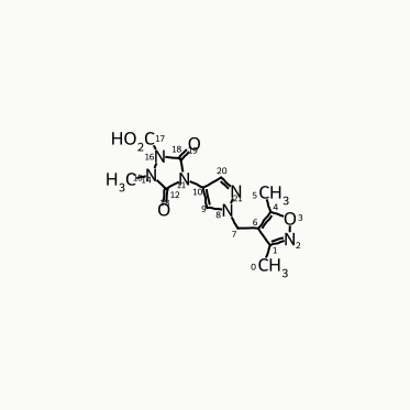 Cc1noc(C)c1Cn1cc(-n2c(=O)n(C)n(C(=O)O)c2=O)cn1